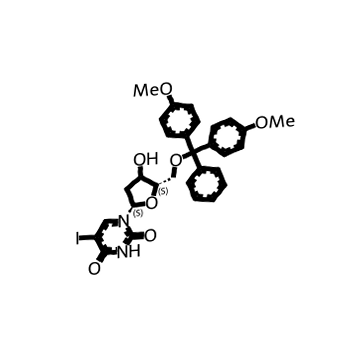 COc1ccc(C(OC[C@@H]2O[C@H](n3cc(I)c(=O)[nH]c3=O)CC2O)(c2ccccc2)c2ccc(OC)cc2)cc1